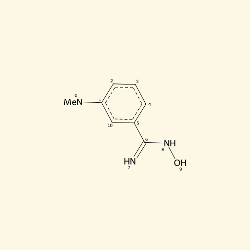 CNc1cccc(C(=N)NO)c1